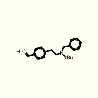 C=Cc1ccc(CCN(Cc2ccccc2)C(C)(C)C)cc1